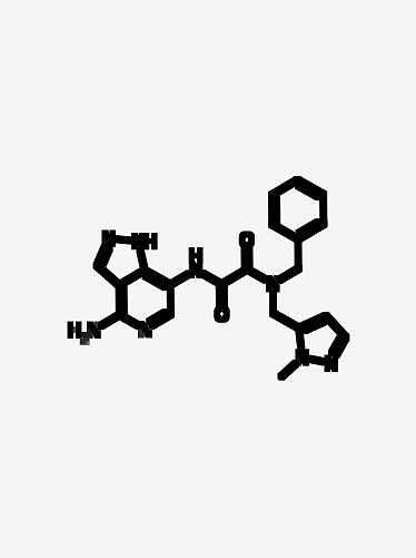 Cn1nccc1CN(Cc1ccccc1)C(=O)C(=O)Nc1cnc(N)c2cn[nH]c12